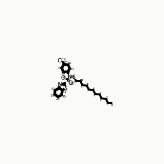 CCCCCCCCCCCCSN(c1ccc(Cl)cc1)S(=O)(=O)c1nc2ccccc2s1